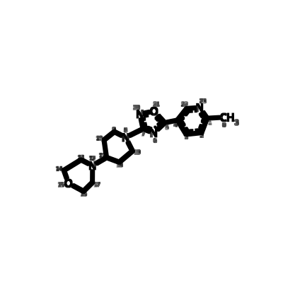 Cc1ccc(-c2nc(N3CCC(N4CCOCC4)CC3)no2)cn1